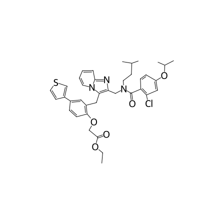 CCOC(=O)COc1ccc(-c2ccsc2)cc1Cc1c(CN(CCC(C)C)C(=O)c2ccc(OC(C)C)cc2Cl)nc2ccccn12